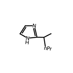 CCCC(C)c1ncc[nH]1